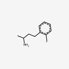 CC(N)CCc1ccccc1F